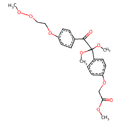 COOCCOc1ccc(C(=O)C(OC)(OC)c2ccc(OCC(=O)OC)cc2)cc1